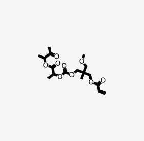 C=CC(=O)OCC(C)(COC)COC(=O)OC(C)C(=O)OC(C)C(C)=O